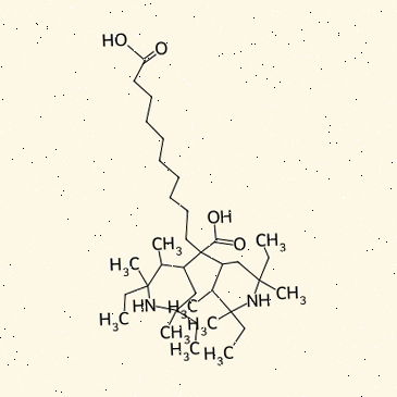 CCC1(C)CC(C(CCCCCCCCCC(=O)O)(C(=O)O)C2CC(C)(CC)NC(C)(CC)C2C)C(C)C(C)(CC)N1